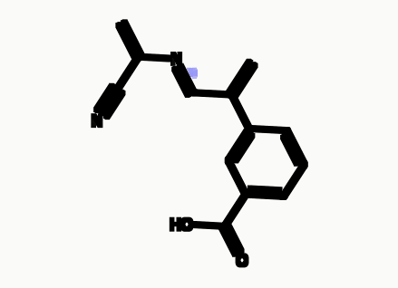 C=C(C#N)/N=C/C(=C)c1cccc(C(=O)O)c1